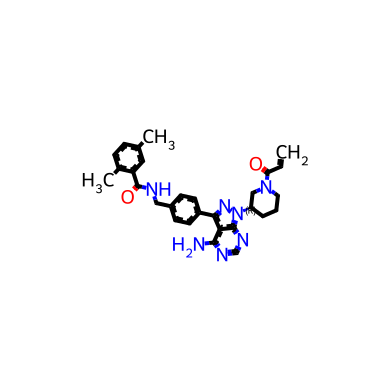 C=CC(=O)N1CCC[C@@H](n2nc(-c3ccc(CNC(=O)c4cc(C)ccc4C)cc3)c3c(N)ncnc32)C1